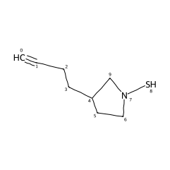 C#CCCC1CCN(S)C1